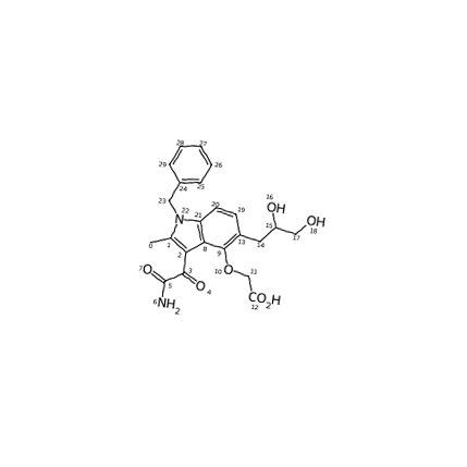 Cc1c(C(=O)C(N)=O)c2c(OCC(=O)O)c(CC(O)CO)ccc2n1Cc1ccccc1